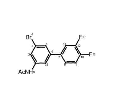 CC(=O)Nc1cc(Br)cc(-c2ccc(F)c(F)c2)c1